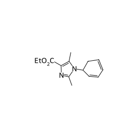 CCOC(=O)c1nc(C)n(C2C=CC=CC2)c1C